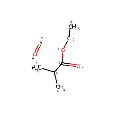 CCOC(=O)C(C)C.O=S